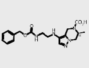 C[C@H]1Cn2ncc(NCCNC(=O)OCc3ccccc3)c2CN1C(=O)O